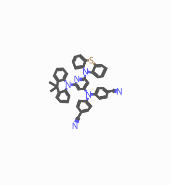 CC1(C)c2ccccc2N(c2cc(N(c3ccc(C#N)cc3)c3ccc(C#N)cc3)cc(N3c4ccccc4Sc4ccccc43)n2)c2ccccc21